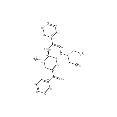 CCC(CC)O[C@@H]1C=C(C(=O)c2ccccc2)C[C@H](N)[C@H]1NC(=O)C1=CC=CCC1